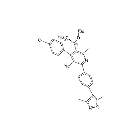 Cc1noc(C)c1-c1ccc(-c2nc(C)c([C@H](OC(C)(C)C)C(=O)O)c(-c3ccc(Cl)cc3)c2C#N)cc1